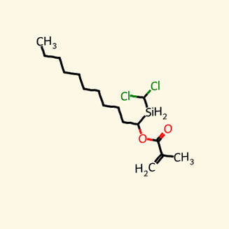 C=C(C)C(=O)OC(CCCCCCCCCC)[SiH2]C(Cl)Cl